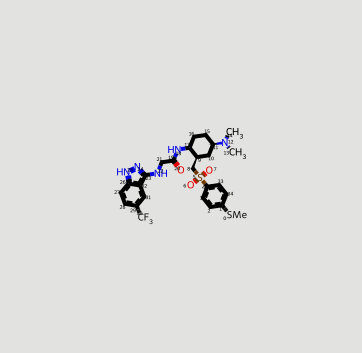 CSc1ccc(S(=O)(=O)C[C@@H]2C[C@H](N(C)C)CCC2NC(=O)CNc2n[nH]c3ccc(C(F)(F)F)cc23)cc1